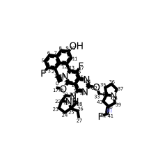 C#Cc1c(F)ccc2cc(O)cc(-c3nc(OC)c4c(N5CC6CCC(CC)(C5)N6)nc(OC[C@@]56CCCN5C/C(=C/F)C6)nc4c3F)c12